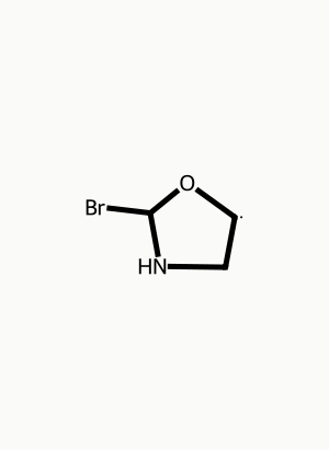 BrC1NC[CH]O1